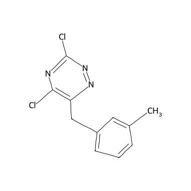 Cc1cccc(Cc2nnc(Cl)nc2Cl)c1